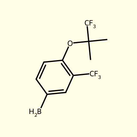 Bc1ccc(OC(C)(C)C(F)(F)F)c(C(F)(F)F)c1